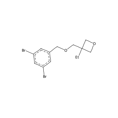 CCC1(COCc2cc(Br)cc(Br)c2)COC1